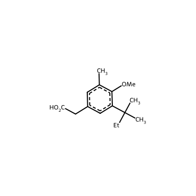 CCC(C)(C)c1cc(CC(=O)O)cc(C)c1OC